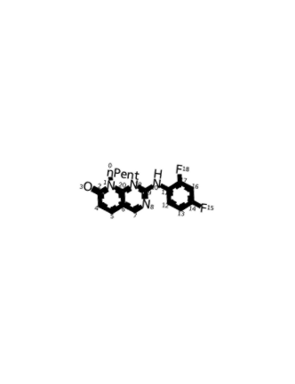 CCCCCn1c(=O)ccc2cnc(Nc3ccc(F)cc3F)nc21